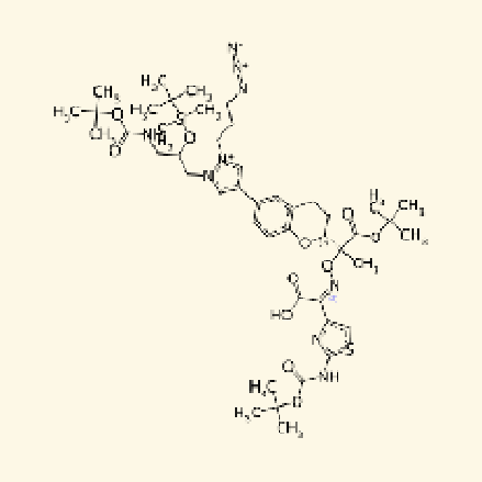 CC(C)(C)OC(=O)NCC(Cn1cc(-c2ccc3c(c2)CC[C@H](C(C)(O/N=C(\C(=O)O)c2csc(NC(=O)OC(C)(C)C)n2)C(=O)OC(C)(C)C)O3)c[n+]1CCCN=[N+]=[N-])O[Si](C)(C)C(C)(C)C